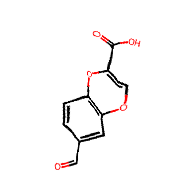 O=Cc1ccc2c(c1)OC=C(C(=O)O)O2